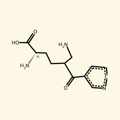 NCC(CC[C@H](N)C(=O)O)C(=O)c1cccnc1